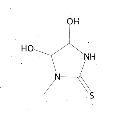 CN1C(=S)NC(O)C1O